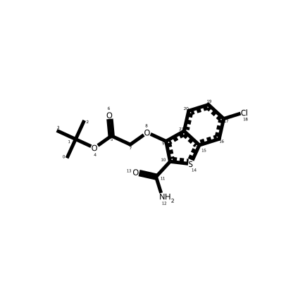 CC(C)(C)OC(=O)COc1c(C(N)=O)sc2cc(Cl)ccc12